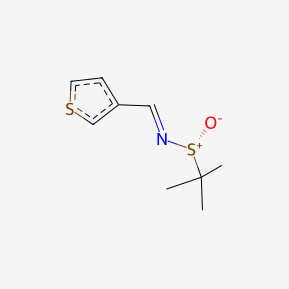 CC(C)(C)[S@@+]([O-])/N=C/c1ccsc1